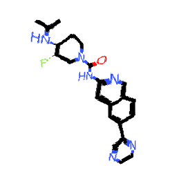 CC(C)N[C@H]1CCN(C(=O)Nc2cc3cc(-c4cnccn4)ccc3cn2)C[C@@H]1F